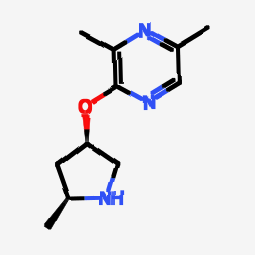 Cc1cnc(O[C@H]2CN[C@@H](C)C2)c(C)n1